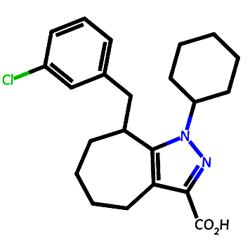 O=C(O)c1nn(C2CCCCC2)c2c1CCCCC2Cc1cccc(Cl)c1